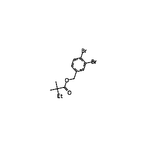 CCC(C)(C)C(=O)OCc1ccc(Br)c(Br)c1